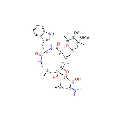 CO[C@]1(C)C[C@H](C[C@H]2[C@H](C)[C@@H](O[C@@H]3O[C@H](C)C[C@H](N(C)C)[C@H]3O)[C@](C)(O)C[C@@H](C)CN(C)C(=O)[C@H](Cc3c[nH]c4ccccc34)NC(=O)[C@@H]2C)O[C@@H](C)[C@@H]1OC(C)=O